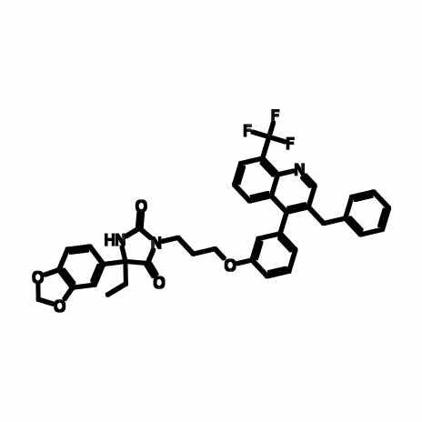 CCC1(c2ccc3c(c2)OCO3)NC(=O)N(CCCOc2cccc(-c3c(Cc4ccccc4)cnc4c(C(F)(F)F)cccc34)c2)C1=O